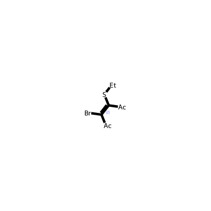 CCS/C(C(C)=O)=C(\Br)C(C)=O